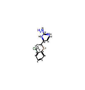 CC(Sc1ccccc1Cl)c1ccnc(N)n1